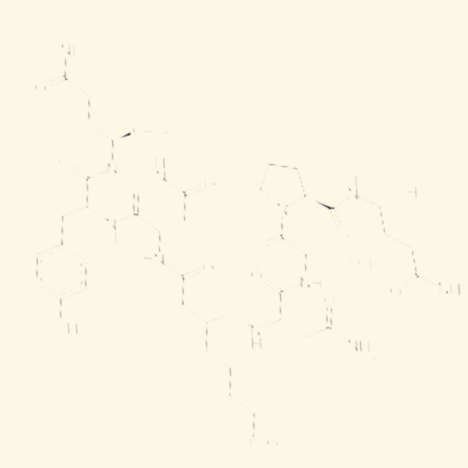 CCCCCCCCCCCCCCC(CC(=O)N[C@@H](CC(N)=O)C(=O)NC(Cc1ccc(O)cc1)C(=O)N[C@H](C=O)CCC(N)=O)ON[C@@H](CC(N)=O)C(=O)N[C@@H](CO)C(=O)N1CCC[C@H]1C(=O)N[C@H](C=O)CCC(N)=O